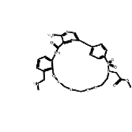 CNCc1cccc2c1OCCOCCOCCN(CC(=O)OC)S(=O)(=O)c1ccc(cc1)-c1cnc(N)c(n1)C(=O)N2